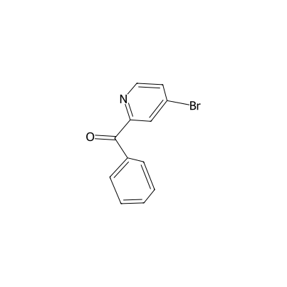 O=C(c1ccccc1)c1cc(Br)ccn1